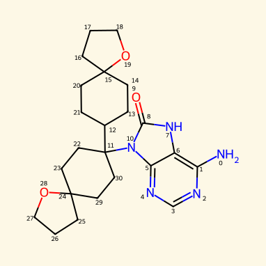 Nc1ncnc2c1[nH]c(=O)n2C1(C2CCC3(CCCO3)CC2)CCC2(CCCO2)CC1